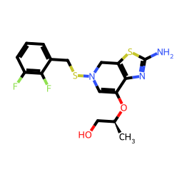 C[C@@H](CO)OC1=CN(SCc2cccc(F)c2F)Cc2sc(N)nc21